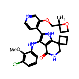 COc1c(Cl)cccc1Nc1c(-c2ccncc2OCC2(C)CCO2)[nH]c2c1C(=O)NCC21CCC1